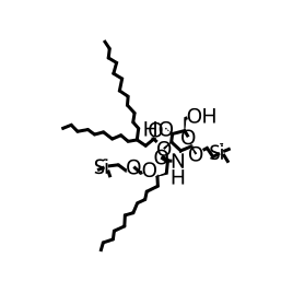 CCCCCCCCCCCCC(CCCCCCCCC)CC(=O)O[C@H]1[C@H](O)[C@@H](CO)O[C@@H](OCC[Si](C)(C)C)[C@@H]1NC(=O)C[C@@H](CCCCCCCCCCC)OCOCC[Si](C)(C)C